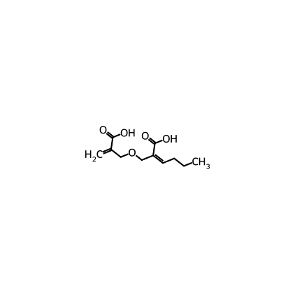 C=C(COCC(=CCCC)C(=O)O)C(=O)O